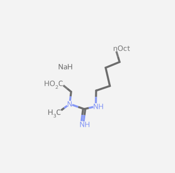 CCCCCCCCCCCCNC(=N)N(C)CC(=O)O.[NaH]